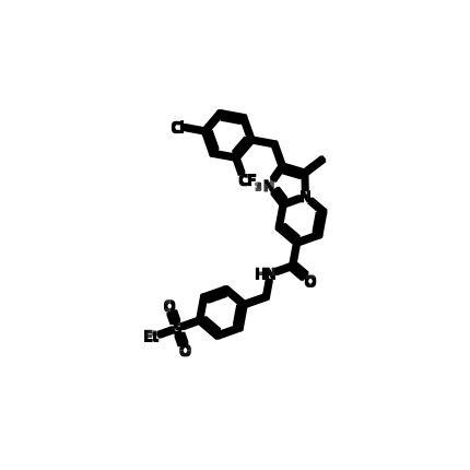 CCS(=O)(=O)c1ccc(CNC(=O)c2ccn3c(C)c(Cc4ccc(Cl)cc4C(F)(F)F)nc3c2)cc1